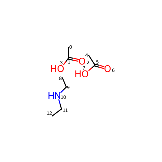 CC(=O)O.CC(=O)O.CCNCC